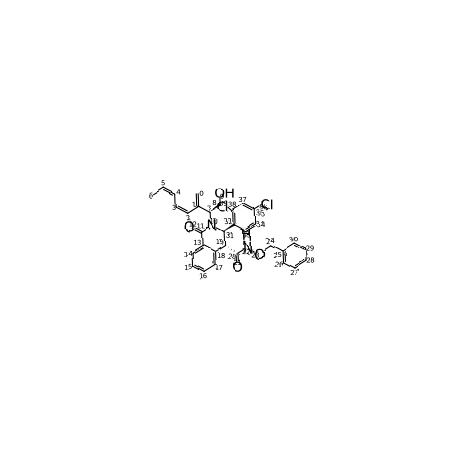 C=C(/C=C\C=C/C)[C@@H](CO)N1C(=O)c2ccccc2[C@@H](C(=O)NOCc2ccccc2)[C@@H]1c1ccc(Cl)cc1Cl